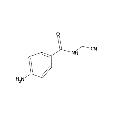 N#CCNC(=O)c1ccc(N)cc1